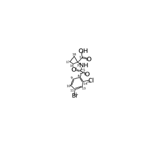 O=C(O)C1(NS(=O)(=O)c2ccc(Br)cc2Cl)CCC1